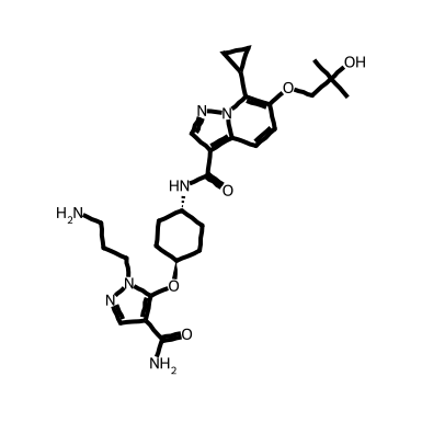 CC(C)(O)COc1ccc2c(C(=O)N[C@H]3CC[C@H](Oc4c(C(N)=O)cnn4CCCN)CC3)cnn2c1C1CC1